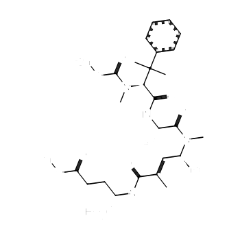 C/C(=C\[C@H](C(C)C)N(C)C(=O)[C@@H](NC(=O)[C@@H](N(C)C(=O)OC(C)(C)C)C(C)(C)c1ccccc1)C(C)(C)C)C(=O)N[C@@H](CCC(=O)OC(C)(C)C)C(=O)O